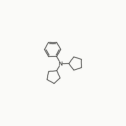 c1ccc(N(C2CCCC2)C2CCCC2)cc1